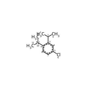 CC(C)c1cc(Cl)ccc1N(C)C